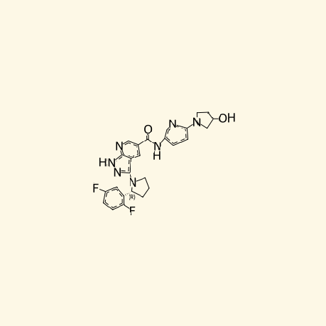 O=C(Nc1ccc(N2CCC(O)C2)nc1)c1cnc2[nH]nc(N3CCC[C@@H]3c3cc(F)ccc3F)c2c1